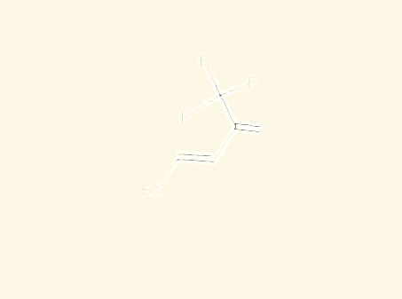 C=C(/C=C/S)C(F)(F)F